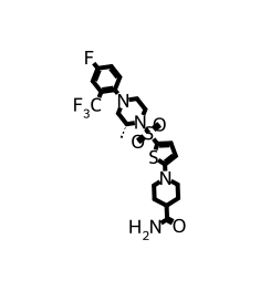 C[C@@H]1CN(c2ccc(F)cc2C(F)(F)F)CCN1S(=O)(=O)c1ccc(N2CCC(C(N)=O)CC2)s1